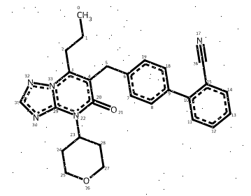 CCCc1c(Cc2ccc(-c3ccccc3C#N)cc2)c(=O)n(C2CCOCC2)c2ncnn12